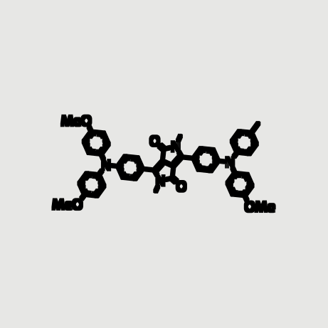 COc1ccc(N(c2ccc(C)cc2)c2ccc(C3=C4C(=O)N(C)C(c5ccc(N(c6ccc(OC)cc6)c6ccc(OC)cc6)cc5)=C4C(=O)N3C)cc2)cc1